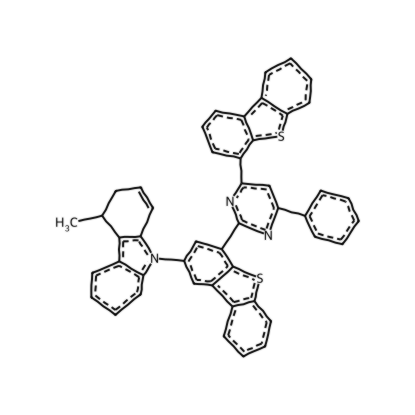 CC1CC=Cc2c1c1ccccc1n2-c1cc(-c2nc(-c3ccccc3)cc(-c3cccc4c3sc3ccccc34)n2)c2sc3ccccc3c2c1